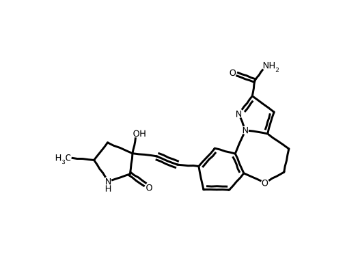 CC1CC(O)(C#Cc2ccc3c(c2)-n2nc(C(N)=O)cc2CCO3)C(=O)N1